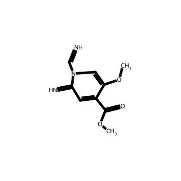 COC(=O)c1cc(=N)n(C=N)cc1OC